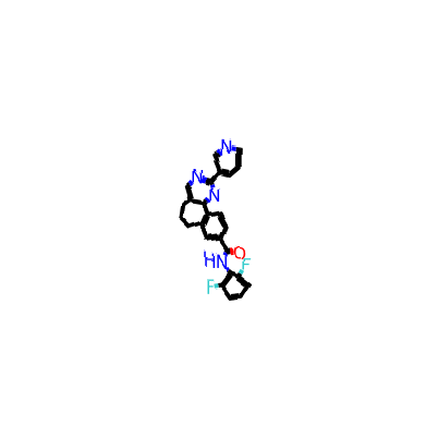 O=C(Nc1c(F)cccc1F)c1ccc2c(c1)CCCc1cnc(-c3cccnc3)nc1-2